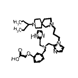 CCC(CC)N1CCC2(CCN(CCCn3ccnc3CN(Cc3cccc(OCC(=O)O)c3)Cc3ncc[nH]3)C2)CC1